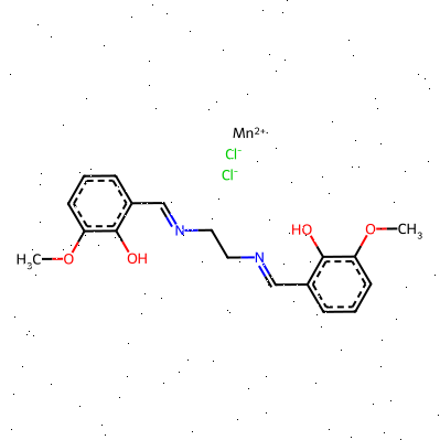 COc1cccc(C=NCCN=Cc2cccc(OC)c2O)c1O.[Cl-].[Cl-].[Mn+2]